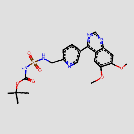 COc1cc2ncnc(-c3ccc(CNS(=O)(=O)NC(=O)OC(C)(C)C)nc3)c2cc1OC